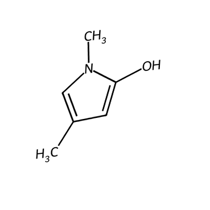 Cc1cc(O)n(C)c1